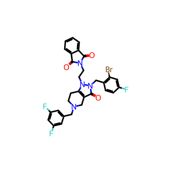 O=C1c2ccccc2C(=O)N1CCn1c2c(c(=O)n1Cc1ccc(F)cc1Br)CN(Cc1cc(F)cc(F)c1)CC2